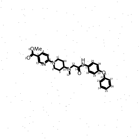 COC(=O)c1ccc(N2CCC(N(C)CC(=O)Nc3ccc(Oc4ccccc4)cc3)CC2)nc1